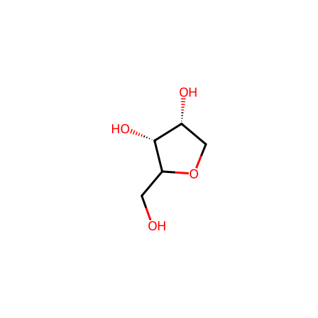 OCC1OC[C@@H](O)[C@H]1O